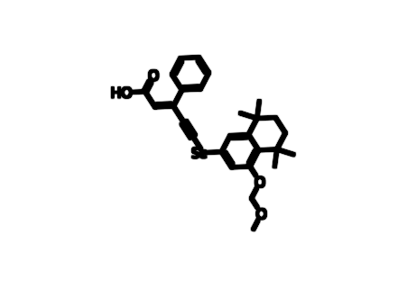 COCOc1cc([Se]C#CC(=CC(=O)O)c2ccccc2)cc2c1C(C)(C)CCC2(C)C